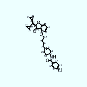 O=C(NC1CCN(CCCCOc2cccc3c2C(=O)C(=C(C2CC2)C2CC2)O3)CC1)c1ccc(Cl)cc1